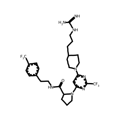 N=C(N)NCCCC1CCN(c2cc(N3CCCC3C(=O)NCCc3ccc(C(F)(F)F)cc3)nc(C(F)(F)F)n2)CC1